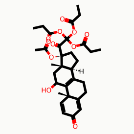 CCC(=O)OC(OC(=O)CC)(OC(=O)CC)C(=O)[C@@]1(OC(C)=O)CC[C@H]2C3=C(C(O)C[C@@]21C)[C@@]1(C)C=CC(=O)C=C1CC3